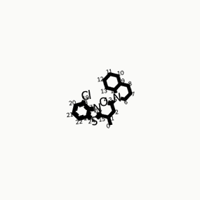 CC(CC(=O)N1CCCC2CCCCC21)c1nc2c(Cl)cccc2s1